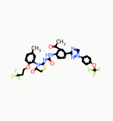 CC(=O)c1cc(-c2ncn(-c3ccc(OC(F)(F)F)cc3)n2)ccc1NC(=O)N=C1SCC(=O)N1c1cc(C)ccc1OCCC(F)(F)F